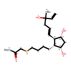 C=CC(O)(CC=C[C@@H]1[C@@H](CCCCSCC(=O)OC)[C@@H](O)C[C@H]1O)CCCC